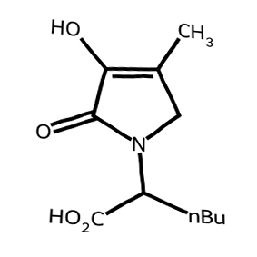 CCCCC(C(=O)O)N1CC(C)=C(O)C1=O